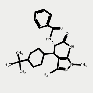 Cc1nn(C)c2c1[C@@H](C1CCC(C(C)(C)C)CC1)[C@H](NC(=O)c1ccccc1)C(=O)N2